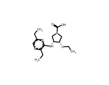 CCO[C@H]1CN(C(=O)O)C[C@H]1Nc1nc(CC)cnc1CC